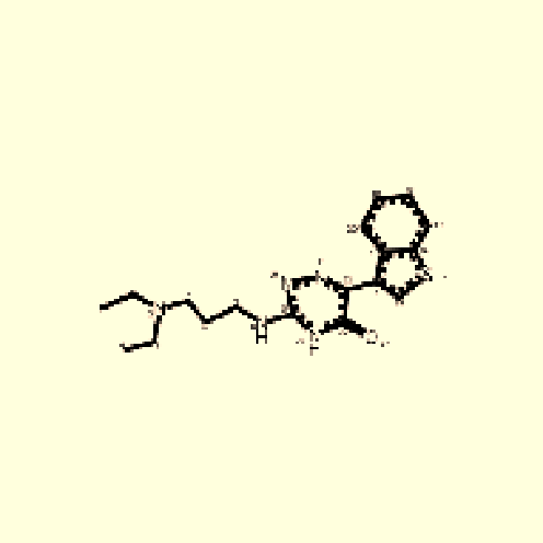 CCN(CC)CCCNc1nnc(-c2csc3ccccc23)c(=O)[nH]1